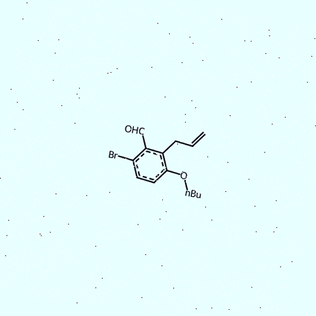 C=CCc1c(OCCCC)ccc(Br)c1C=O